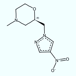 CN1CCO[C@@H](Cn2cc([N+](=O)[O-])cn2)C1